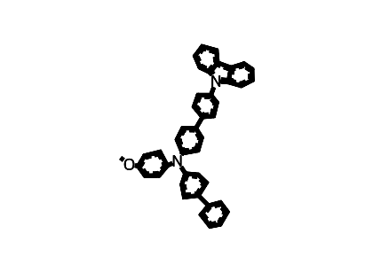 COc1ccc(N(c2ccc(-c3ccccc3)cc2)c2ccc(-c3ccc(-n4c5ccccc5c5ccccc54)cc3)cc2)cc1